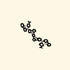 CC(C)c1ccc(N(C2=CCCc3c2oc2ccccc32)c2ccc3c(c2)c2cccc4c5cc6c(cc5n3c24)c2cccc3c4cc(N(c5ccc(C(C)C)cc5)c5cccc7c5oc5ccccc57)ccc4n6c32)cc1